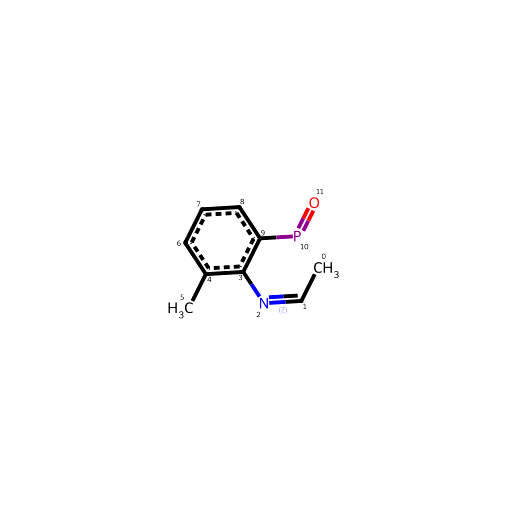 C/C=N\c1c(C)cccc1P=O